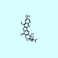 CCc1c2c(nc3ccc(O)cc13)-c1cc3c(c(=O)n1C2)COC(=O)[C@@]3(CC)OC(=O)C(C)C